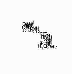 COC(=O)N[C@@H](C(=O)N1[C@@H]2C[C@@H]2C[C@H]1c1nc2ccc3cc(-c4ccc5c(ccc6nc([C@@H]7[C@H]8CC[C@H](C8)N7C(=O)[C@@H](NC(C)OC)C(C)C)[nH]c65)c4)ccc3c2[nH]1)c1ccccc1